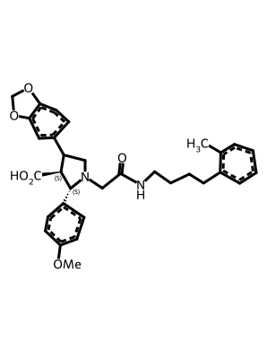 COc1ccc([C@@H]2[C@@H](C(=O)O)C(c3ccc4c(c3)OCO4)CN2CC(=O)NCCCCc2ccccc2C)cc1